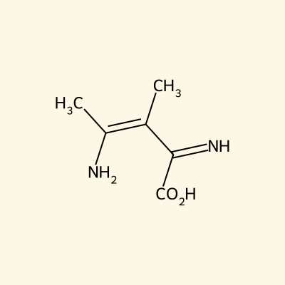 C/C(N)=C(\C)C(=N)C(=O)O